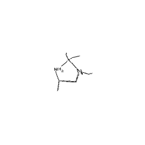 CC(N)CN(C)C(C)(C)C